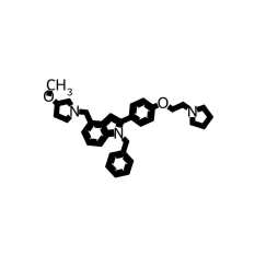 COC1CCN(Cc2cccc3c2cc(-c2ccc(OCCN4CCCC4)cc2)n3Cc2ccccc2)C1